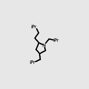 CC(C)CCC1CC(CC(C)C)CN1CC(C)C